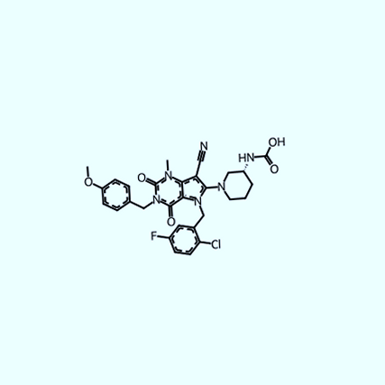 COc1ccc(Cn2c(=O)c3c(c(C#N)c(N4CCC[C@@H](NC(=O)O)C4)n3Cc3cc(F)ccc3Cl)n(C)c2=O)cc1